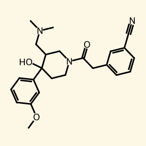 COc1cccc(C2(O)CCN(C(=O)Cc3cccc(C#N)c3)CC2CN(C)C)c1